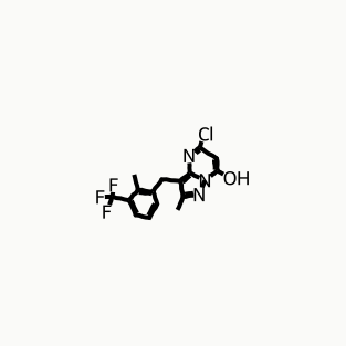 Cc1nn2c(O)cc(Cl)nc2c1Cc1cccc(C(F)(F)F)c1C